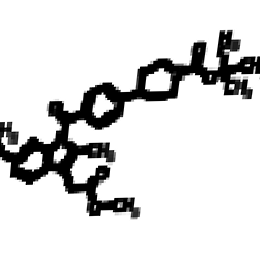 COC(=O)Cc1c(C)n(C(=O)c2ccc(C3CCN(C(=O)OC(C)(C)C)CC3)cc2)c2cc(OC)ccc12